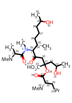 CN[C@@H](C)C(=O)N(C)[C@H](C(=O)CC(CC(C)O)(OC(=O)[C@H](CC(C)C)NC)C(=O)O)[C@@H](C)CCCC(C)O